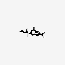 CCCC(=O)NC1CNc2nc(C(=O)O)cn2C1